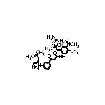 CN(C)Cc1cnnn1-c1cccc(C(=O)CC(=O)Nc2cc(C(F)(F)F)c(N(C)C)cc2CC(C)(C)OC(N)=O)c1